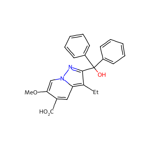 CCc1c(C(O)(c2ccccc2)c2ccccc2)nn2cc(OC)c(C(=O)O)cc12